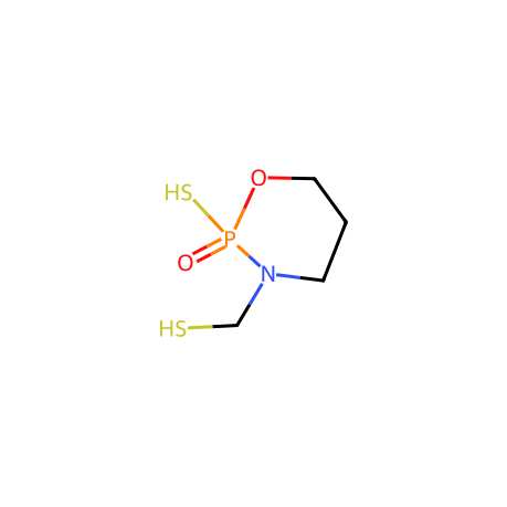 O=P1(S)OCCCN1CS